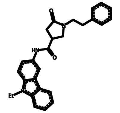 CCn1c2ccccc2c2cc(NC(=O)C3CC(=O)N(CCc4ccccc4)C3)ccc21